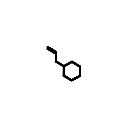 S=CCC1CCCCC1